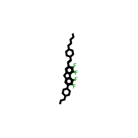 CCCCCC1CCC(/C=C/c2cc3c(c(F)c2F)-c2c(cc(C4CCC(CCC)CC4)c(F)c2F)C3)CC1